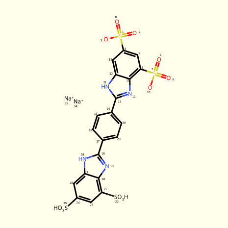 O=S(=O)([O-])c1cc(S(=O)(=O)[O-])c2nc(-c3ccc(-c4nc5c(S(=O)(=O)O)cc(S(=O)(=O)O)cc5[nH]4)cc3)[nH]c2c1.[Na+].[Na+]